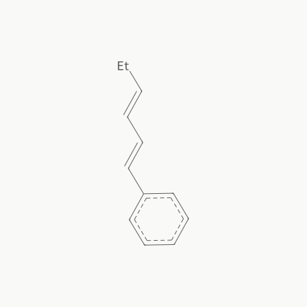 [CH2]CC=CC=Cc1ccccc1